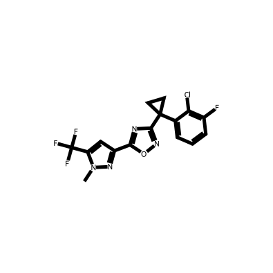 Cn1nc(-c2nc(C3(c4cccc(F)c4Cl)CC3)no2)cc1C(F)(F)F